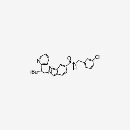 CCC(C)C(Cn1cc2ccc(C(=O)NCc3cccc(Cl)c3)cc2n1)c1ccccn1